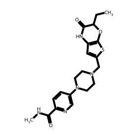 CCC1Oc2sc(CN3CCN(c4ccc(C(=O)NC)nc4)CC3)cc2NC1=O